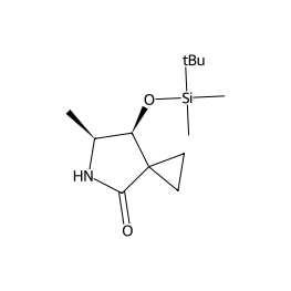 C[C@@H]1NC(=O)C2(CC2)[C@@H]1O[Si](C)(C)C(C)(C)C